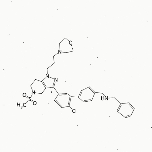 CS(=O)(=O)N1CCc2c(c(-c3ccc(Cl)c(-c4ccc(CNCc5ccccc5)cc4)c3)nn2CCCN2CCOCC2)C1